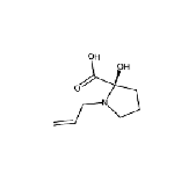 C=CCN1CCC[C@@]1(O)C(=O)O